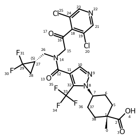 C[C@]1(C(=O)O)CC[C@H](n2ncc(C(=O)N(CC(=O)c3c(Cl)cncc3Cl)C[C@@H]3CC3(F)F)c2C(F)(F)F)CC1